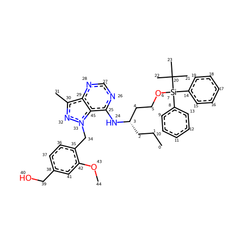 CCC[C@@H](CCO[Si](c1ccccc1)(c1ccccc1)C(C)(C)C)Nc1n[c]nc2c(C)nn(Cc3ccc(CO)cc3OC)c12